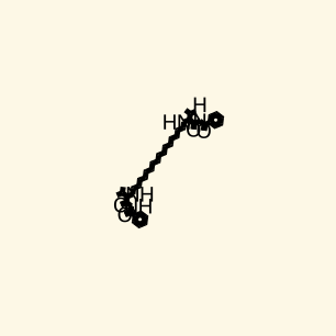 CC(C)C(NCCCCCCCCCCCCCCCCNC(C(=O)NC(=O)c1ccccc1)C(C)C)C(=O)NC(=O)c1ccccc1